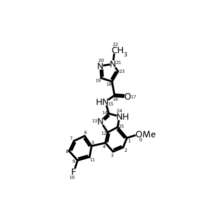 COc1ccc(-c2cccc(F)c2)c2nc(NC(=O)c3cnn(C)c3)[nH]c12